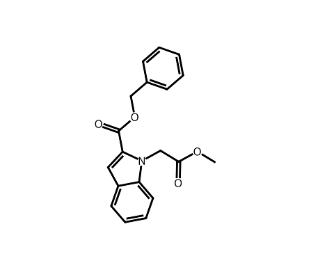 COC(=O)Cn1c(C(=O)OCc2ccccc2)cc2ccccc21